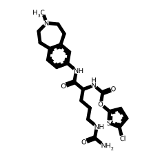 CN1CCc2ccc(NC(=O)C(CCCNC(N)=O)NC(=O)Oc3ccc(Cl)s3)cc2CC1